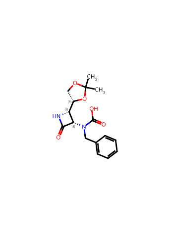 CC1(C)OC[C@@H]([C@H]2NC(=O)[C@H]2N(Cc2ccccc2)C(=O)O)O1